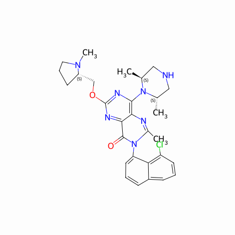 Cc1nc2c(N3[C@@H](C)CNC[C@@H]3C)nc(OC[C@@H]3CCCN3C)nc2c(=O)n1-c1cccc2cccc(Cl)c12